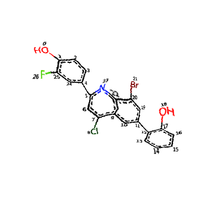 Oc1ccc(-c2cc(Cl)c3cc(-c4ccccc4O)cc(Br)c3n2)cc1F